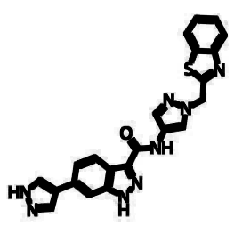 O=C(Nc1cnn(Cc2nc3ccccc3s2)c1)c1n[nH]c2cc(-c3cn[nH]c3)ccc12